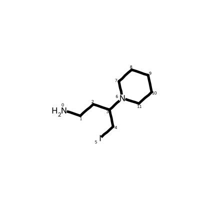 NCCC(CI)N1CCCCC1